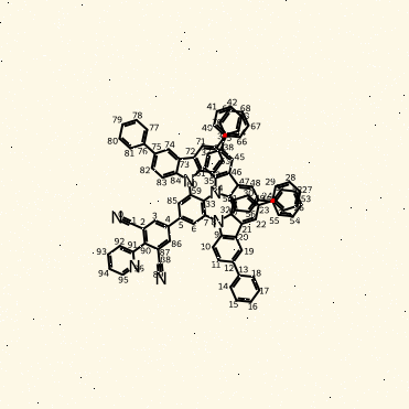 N#Cc1cc(-c2cc(-n3c4ccc(-c5ccccc5)cc4c4cc(-c5ccccc5)ccc43)c(-n3c4ccc(-c5ccccc5)cc4c4cc(-c5ccccc5)ccc43)c(-n3c4ccc(-c5ccccc5)cc4c4cc(-c5ccccc5)ccc43)c2)cc(C#N)c1-c1ccccn1